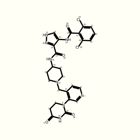 O=C1CCN(c2cnccc2CN2CCC(NC(=O)c3n[nH]cc3NC(=O)c3c(Cl)cccc3Cl)CC2)C(=O)N1